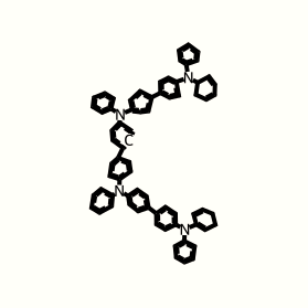 C1=CCC(N(c2ccccc2)c2ccc(-c3ccc(N(c4ccccc4)c4ccc(-c5ccc(N(c6ccccc6)c6ccc(-c7ccc(N(C8=CCCC=C8)c8ccccc8)cc7)cc6)cc5)cc4)cc3)cc2)C=C1